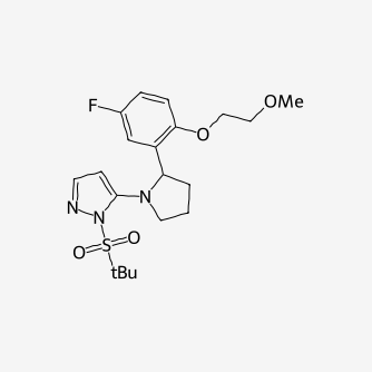 COCCOc1ccc(F)cc1C1CCCN1c1ccnn1S(=O)(=O)C(C)(C)C